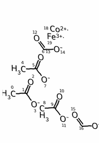 CC(=O)[O-].CC(=O)[O-].CC(=O)[O-].O=C[O-].O=C[O-].[Co+2].[Fe+3]